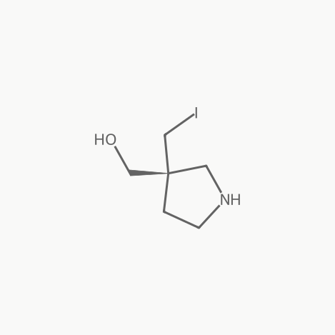 OC[C@]1(CI)CCNC1